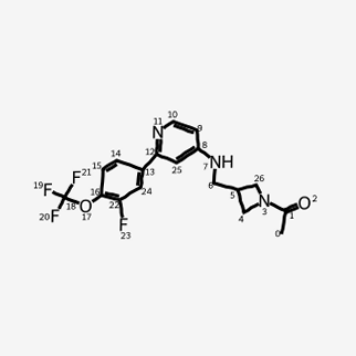 CC(=O)N1CC(CNc2ccnc(-c3ccc(OC(F)(F)F)c(F)c3)c2)C1